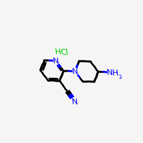 Cl.N#Cc1cccnc1N1CCC(N)CC1